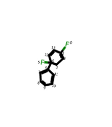 FC1=CCC(F)(c2ccccc2)C=C1